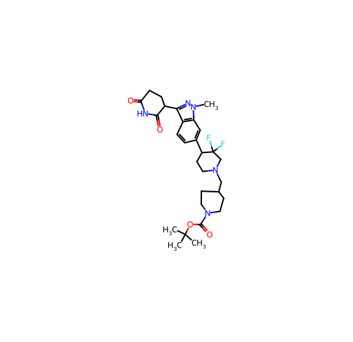 Cn1nc(C2CCC(=O)NC2=O)c2ccc(C3CCN(CC4CCN(C(=O)OC(C)(C)C)CC4)CC3(F)F)cc21